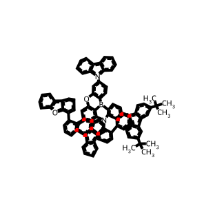 CC(C)(C)c1ccc2c(c1)c1cc(C(C)(C)C)ccc1n2-c1ccc2c(c1)N(c1c(-c3ccccc3)cccc1-c1ccccc1)c1cc(-c3c(-c4cccc5c4oc4ccccc45)cccc3-n3c4ccccc4c4ccccc43)cc3c1B2c1ccc(-n2c4ccccc4c4ccccc42)cc1O3